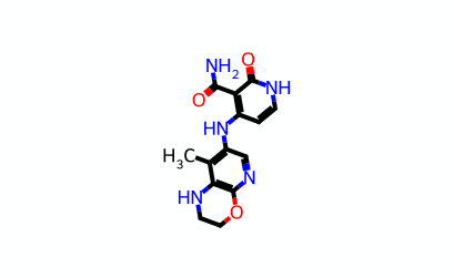 Cc1c(Nc2cc[nH]c(=O)c2C(N)=O)cnc2c1NCCO2